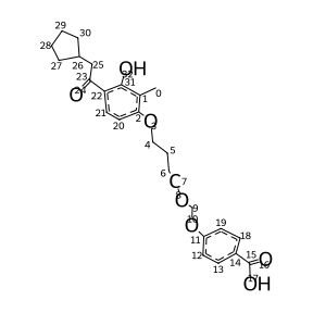 Cc1c(OCCCCOCOc2ccc(C(=O)O)cc2)ccc(C(=O)CC2CCCC2)c1O